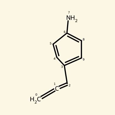 C=C=Cc1ccc(N)cc1